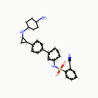 N#Cc1ccccc1S(=O)(=O)Nc1cccc(-c2ccc(C3CC3NC3CCC(N)CC3)cc2)c1